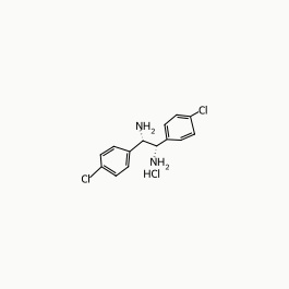 Cl.N[C@@H](c1ccc(Cl)cc1)[C@@H](N)c1ccc(Cl)cc1